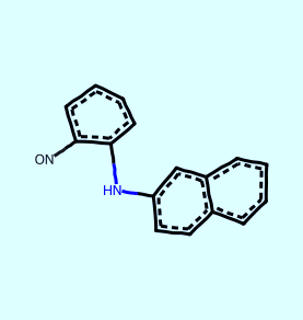 O=Nc1ccccc1Nc1ccc2ccccc2c1